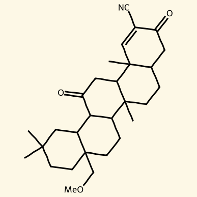 COCC12CCC3C(C(=O)CC4C5(C)C=C(C#N)C(=O)CC5CCC34C)C1CC(C)(C)CC2